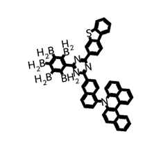 Bc1c(B)c(B)c(-c2nc(-c3ccc4c(N5c6ccc7ccccc7c6-c6cccc7cccc5c67)cccc4c3)nc(-c3ccc4c(c3)sc3ccccc34)n2)c(B)c1B